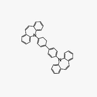 C1=Cc2ccccc2N(C2=CC=C(c3ccc(N4c5ccccc5C=Cc5ccccc54)cc3)CC2)c2ccccc21